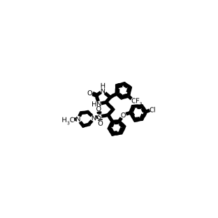 CN1CCN(S(=O)(=O)C(CC2NC(=O)NC2c2cccc(C(F)(F)F)c2)c2ccccc2Oc2ccc(Cl)cc2)CC1